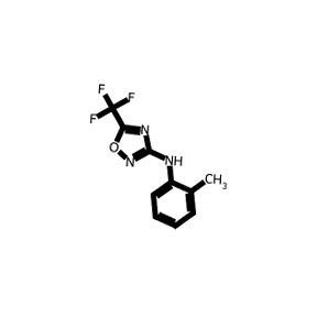 Cc1c[c]ccc1Nc1noc(C(F)(F)F)n1